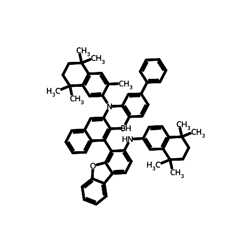 Cc1cc2c(cc1N1c3cc(-c4ccccc4)ccc3Bc3c1cc1ccccc1c3-c1c(Nc3ccc4c(c3)C(C)(C)CCC4(C)C)ccc3c1oc1ccccc13)C(C)(C)CCC2(C)C